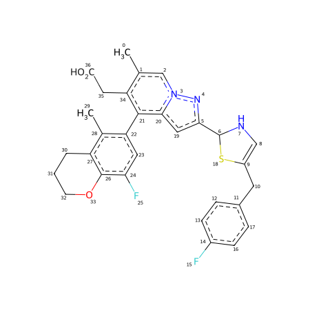 Cc1cn2nc(C3NC=C(Cc4ccc(F)cc4)S3)cc2c(-c2cc(F)c3c(c2C)CCCO3)c1CC(=O)O